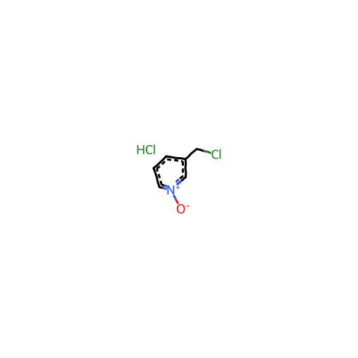 Cl.[O-][n+]1cccc(CCl)c1